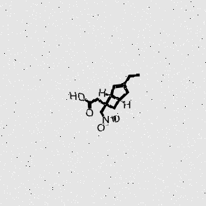 CCC1=C[C@@H]2[C@@H](C1)CC2(CC(=O)O)C[N+](=O)[O-]